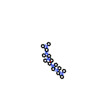 c1ccc(-n2c3ccccc3c3cc(-n4c5ccccc5c5c4ccc4c6ccccc6n(-c6ccccc6-c6ccc(-n7c8ccccc8c8c(-n9c%10ccccc%10c%10c9ccc9c%11ccccc%11n(-c%11ccccc%11)c9%10)cccc87)cc6)c45)ccc32)cc1